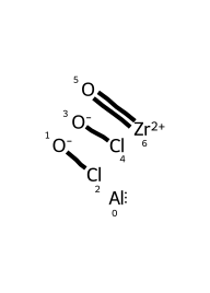 [Al].[O-]Cl.[O-]Cl.[O]=[Zr+2]